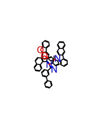 CC1C/C=C(c2cc3c(cc2-n2c4ccccc4c4cc5ccccc5cc42)oc2ccc4ccccc4c23)/N=C(c2cccc(-c3ccccc3)c2)\N=C/1c1ccc2oc3ccccc3c2c1